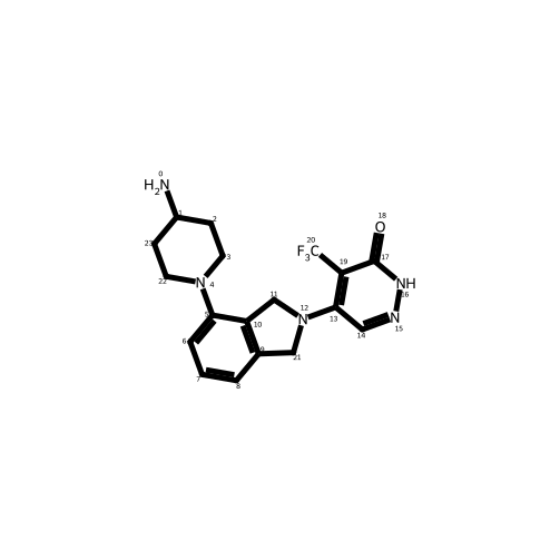 NC1CCN(c2cccc3c2CN(c2cn[nH]c(=O)c2C(F)(F)F)C3)CC1